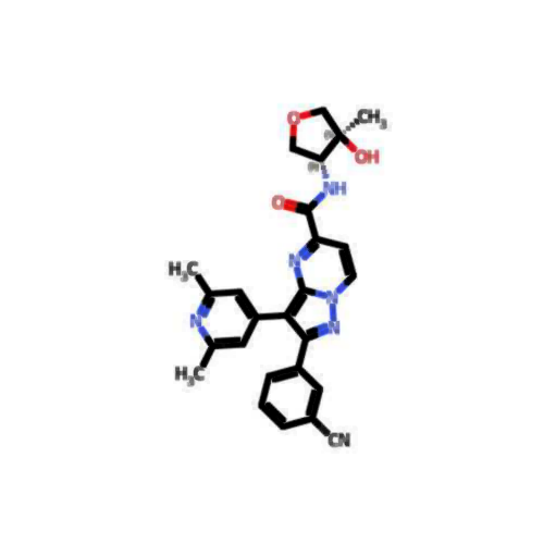 Cc1cc(-c2c(-c3cccc(C#N)c3)nn3ccc(C(=O)N[C@@H]4COC[C@@]4(C)O)nc23)cc(C)n1